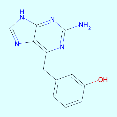 Nc1nc(Cc2cccc(O)c2)c2nc[nH]c2n1